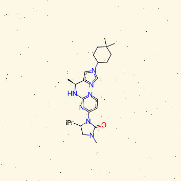 CC(C)C1CN(C)C(=O)N1c1ccnc(N[C@@H](C)c2cn(C3CCC(C)(C)CC3)cn2)n1